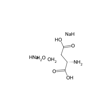 N[C@@H](CC(=O)O)C(=O)O.O.O.[NaH].[NaH]